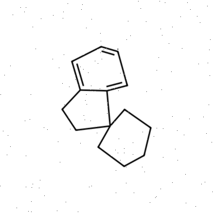 [c]1ccc2c(c1)C1(CCCCC1)CC2